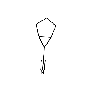 N#CC1C2CCCC12